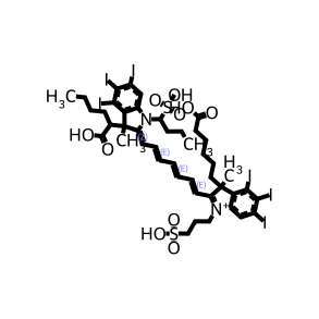 CCCCC(C(=O)O)C1(C)/C(=C/C=C/C=C/C=C/C2=[N+](CCCS(=O)(=O)O)c3cc(I)c(I)c(I)c3C2(C)CCCCCC(=O)O)N(C(CCC)S(=O)(=O)O)c2cc(I)c(I)c(I)c21